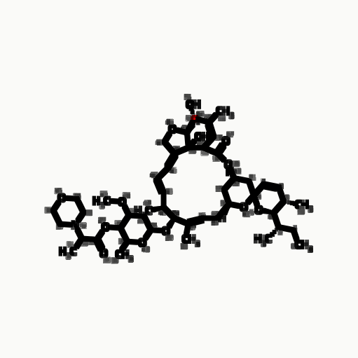 CC[C@H](C)[C@H]1OC2(C=C[C@@H]1C)C[C@@H]1C[C@@H](C/C=C(\C)[C@@H](OC3CC(OC)C(OC(=O)C(C)N4CCOCC4)C(C)O3)[C@@H](C)/C=C/C=C3\CO[C@@H]4[C@H](O)C(C)=CC(C(=O)O1)[C@]34O)O2